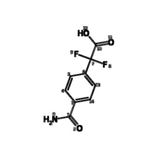 NC(=O)c1ccc(C(F)(F)C(=O)O)cc1